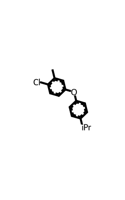 Cc1cc(Oc2ccc(C(C)C)cc2)ccc1Cl